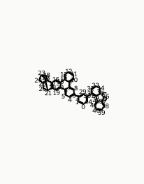 c1cc(-c2ccc3c(c2)c2ccccc2c2cc4c(cc32)C2CC3CC(C2)C4C3)cc(-c2cccc3sc4ccccc4c23)c1